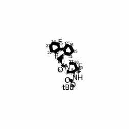 CC(C)(C)OC(=O)N[C@@H]1CN(C(=O)[C@H]2C[C@@H]2c2ccccc2-c2c(F)cccc2F)CCC1(F)F